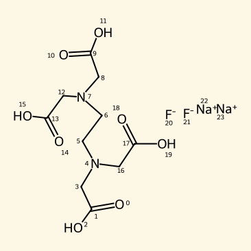 O=C(O)CN(CCN(CC(=O)O)CC(=O)O)CC(=O)O.[F-].[F-].[Na+].[Na+]